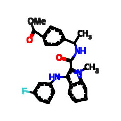 COC(=O)c1ccc(C(C)NC(=O)c2c(Nc3cccc(F)c3)c3ccccc3n2C)cc1